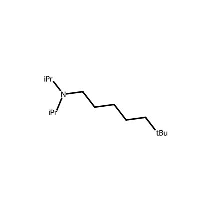 CC(C)N(CCCCCC(C)(C)C)C(C)C